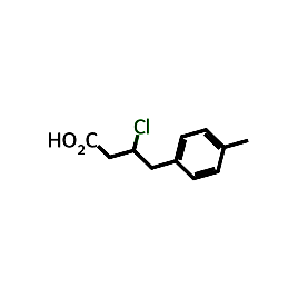 Cc1ccc(CC(Cl)CC(=O)O)cc1